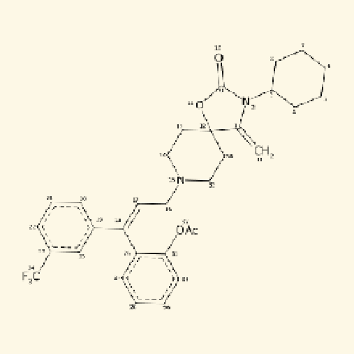 C=C1N(C2CCCCC2)C(=O)OC12CCN(CC=C(c1cccc(C(F)(F)F)c1)c1ccccc1OC(C)=O)CC2